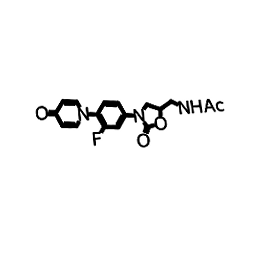 CC(=O)NCC1CN(c2ccc(-n3ccc(=O)cc3)c(F)c2)C(=O)O1